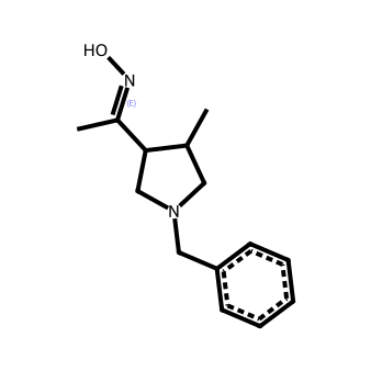 C/C(=N\O)C1CN(Cc2ccccc2)CC1C